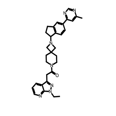 CCn1nc(CC(=O)N2CCC3(CC2)CN(C2CCc4cc(-c5cc(C)ncn5)ccc42)C3)c2cccnc21